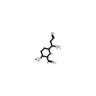 CC1CCC(C(C)CC=O)CC1C=O